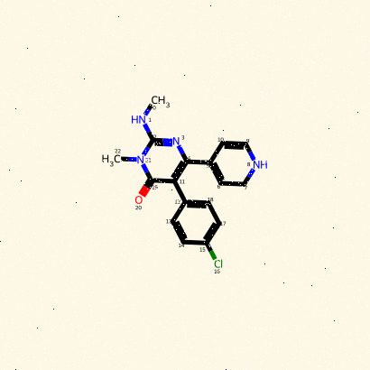 CNc1nc(C2=CCNC=C2)c(-c2ccc(Cl)cc2)c(=O)n1C